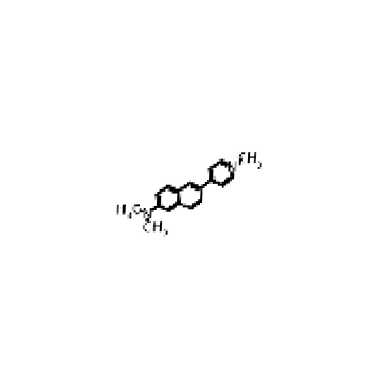 CN(C)c1ccc2cc(-c3cc[n+](C)cc3)ccc2c1